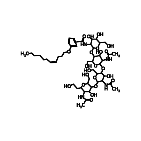 CCCCCC/C=C\CCCOc1cccc(C(=O)NC2C(OC3C(CO)OC(OC4C(CO)OC(OC5C(CO)OC(CCO)C(NC(C)=O)C5O)C(NC(C)=O)C4O)C(NC(C)=O)C3O)OC(CO)C(O)C2O)c1